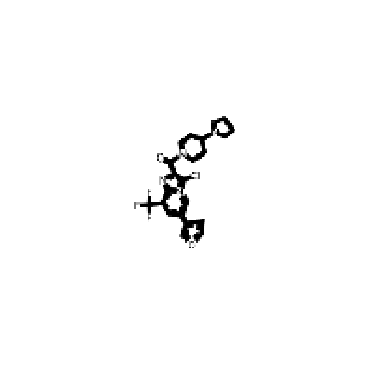 O=C(c1nc2c(C(F)(F)F)cc(-c3ccoc3)cn2c1Cl)N1CCC(N2CCCC2)CC1